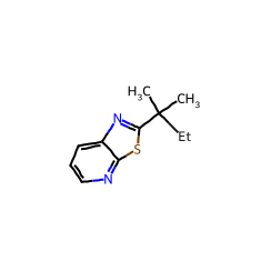 CCC(C)(C)c1nc2cccnc2s1